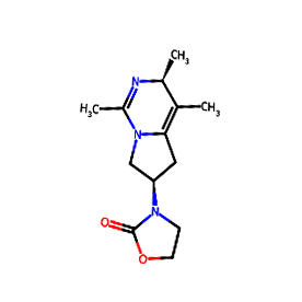 CC1=N[C@@H](C)C(C)=C2C[C@@H](N3CCOC3=O)CN12